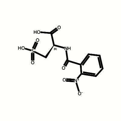 O=C(N[C@@H](CS(=O)(=O)O)C(=O)O)c1ccccc1[N+](=O)[O-]